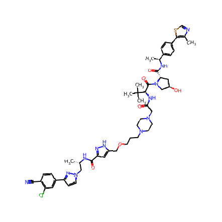 Cc1ncsc1-c1ccc([C@H](C)NC(=O)[C@@H]2C[C@@H](O)CN2C(=O)[C@@H](NC(=O)CN2CCN(CCCOCc3cc(C(=O)N[C@@H](C)Cn4ccc(-c5ccc(C#N)c(Cl)c5)n4)n[nH]3)CC2)C(C)(C)C)cc1